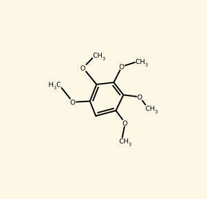 COc1cc(OC)c(OC)c(OC)c1OC